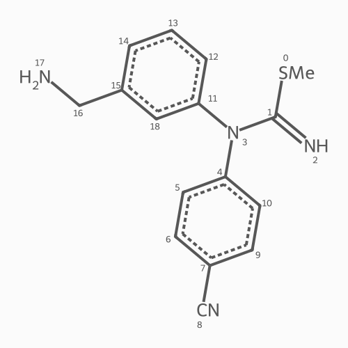 CSC(=N)N(c1ccc(C#N)cc1)c1cccc(CN)c1